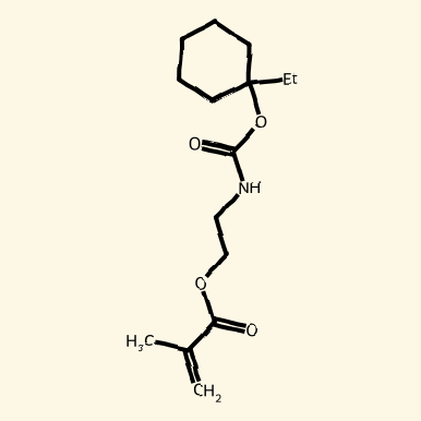 C=C(C)C(=O)OCCNC(=O)OC1(CC)CCCCC1